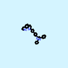 c1ccc(-c2cc(-c3ccc(-c4ccc(-c5ccc6ccc7cccnc7c6n5)cc4)cc3)nc(-c3ccccc3)n2)cc1